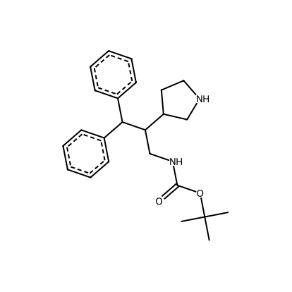 CC(C)(C)OC(=O)NCC(C1CCNC1)C(c1ccccc1)c1ccccc1